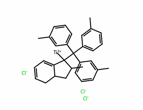 Cc1cccc(C(c2cccc(C)c2)(c2cccc(C)c2)[C]2([Ti+3])C3=CC=CCC3CC2C)c1.[Cl-].[Cl-].[Cl-]